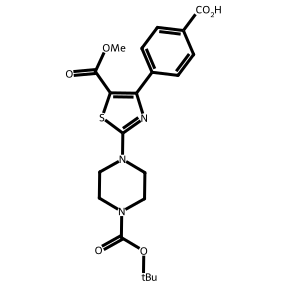 COC(=O)c1sc(N2CCN(C(=O)OC(C)(C)C)CC2)nc1-c1ccc(C(=O)O)cc1